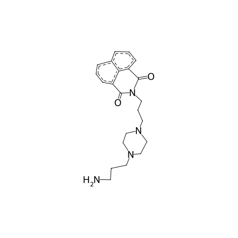 NCCCN1CCN(CCCN2C(=O)c3cccc4cccc(c34)C2=O)CC1